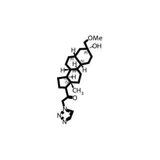 COC[C@@]1(O)CC[C@H]2[C@H](CC[C@@H]3[C@@H]2CC[C@]2(C)C(C(=O)Cn4ccnn4)CC[C@@H]32)C1